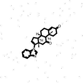 C[C@]12CCC(=O)C=C1CC[C@@H]1[C@@H]2C(=O)C[C@]2(C)C(n3cnc4ccccc43)=CC[C@@H]12